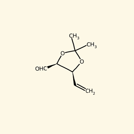 C=C[C@@H]1OC(C)(C)O[C@@H]1C=O